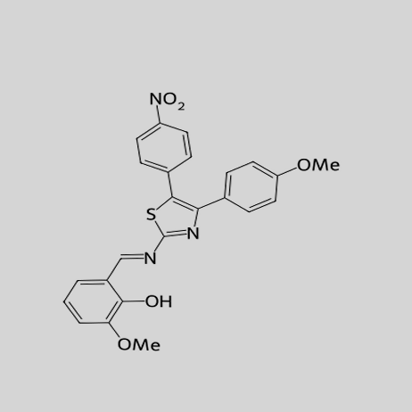 COc1ccc(-c2nc(N=Cc3cccc(OC)c3O)sc2-c2ccc([N+](=O)[O-])cc2)cc1